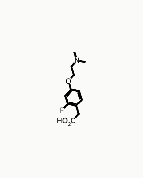 CN(C)CCOc1ccc(CC(=O)O)c(F)c1